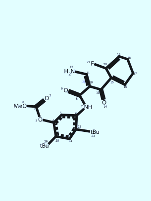 COC(=O)Oc1cc(NC(=O)/C(=C\N)C(=O)C2=CCCC=C2F)c(C(C)(C)C)cc1C(C)(C)C